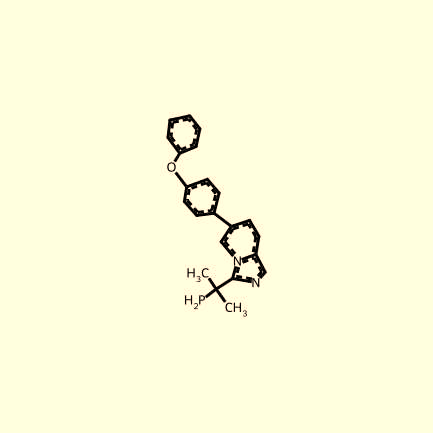 CC(C)(P)c1ncc2ccc(-c3ccc(Oc4ccccc4)cc3)cn12